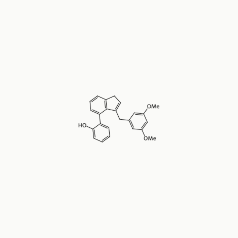 COc1cc(CC2=CCc3cccc(-c4ccccc4O)c32)cc(OC)c1